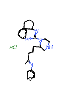 CC(CCCC1CNCCN1C1=NC2CCCc3cccc(c32)N1)=Nc1ccccc1.Cl